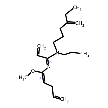 C=CC/C=C(\N=C(/C=C)N(CCC)CCCC(=C)CC)OC